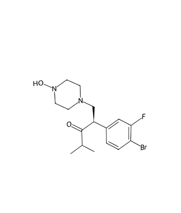 CC(C)C(=O)[C@@H](CN1CCN(O)CC1)c1ccc(Br)c(F)c1